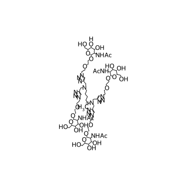 CC(=O)NC1C(OCCOCCn2cc(CN(CCCC[C@H](C)N(Cc3cn(CCOCCOC4OC(CO)C(O)C(O)C4NC(C)=O)nn3)Cc3cn(CCOCCOC4OC(CO)C(O)C(O)C4NC(C)=O)nn3)Cc3cn(CCOCCOC4OC(CO)C(O)C(O)C4NC(C)=O)nn3)nn2)OC(CO)C(O)C1O